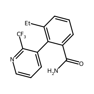 CCc1cccc(C(N)=O)c1-c1cccnc1C(F)(F)F